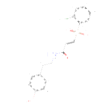 COc1ccc(CCNC(=O)/C=C/S(=O)(=O)c2ccccc2Cl)cc1